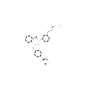 O=C(O)CCc1cccc(NC(=O)c2ccccc2NCc2ccc(-c3cnco3)cc2)c1